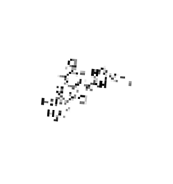 CCC(C(=O)O)=C(C)c1ccc(Cl)cc1Cn1nnc(C)n1